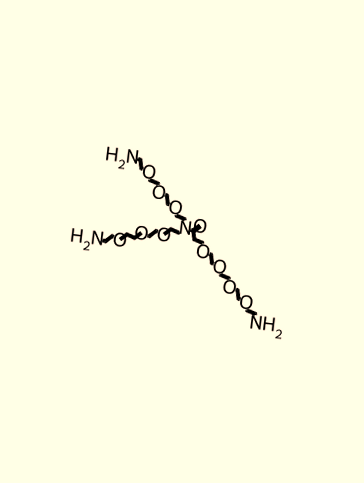 NCCOCCOCCOCCOCCC(=O)N(CCOCCOCCOCCN)CCOCCOCCOCCN